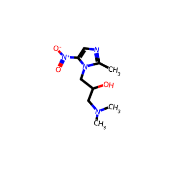 Cc1ncc([N+](=O)[O-])n1CC(O)CN(C)C